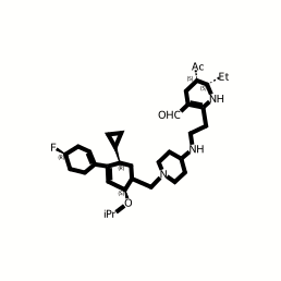 CC[C@@H]1NC(CCNC2CCN(CC3C[C@H](C4CC4)C(C4=CC[C@H](F)CC4)=C[C@@H]3OC(C)C)CC2)=C(C=O)C[C@@H]1C(C)=O